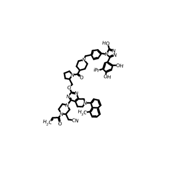 C=CC(=O)N1CCN(c2nc(OCC3CCCN3C(=O)C3CCN(Cc4ccc(-n5c(O)nnc5-c5cc(C(C)C)c(O)cc5O)cc4)CC3)nc3c2CCN(c2cccc4cccc(C)c24)C3)CC1CC#N